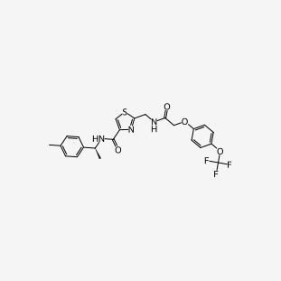 Cc1ccc([C@H](C)NC(=O)c2csc(CNC(=O)COc3ccc(OC(F)(F)F)cc3)n2)cc1